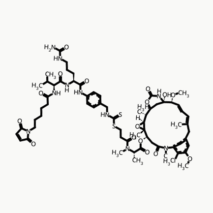 COc1cc2cc(c1Cl)N(C)C(=O)C[C@H](OC(=O)[C@H](C)N(C)C(=O)CCSC(=S)NCc1ccc(NC(=O)[C@H](CCCNC(N)=O)NC(=O)[C@@H](NC(=O)CCCCCN3C(=O)C=CC3=O)C(C)C)cc1)[C@]1(C)O[C@H]1[C@H](C)[C@@H]1C[C@@](O)(NC(=O)O1)[C@H](OC)/C=C/C=C(\C)C2